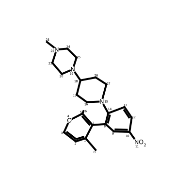 CC1=C=COC(C)=C1c1cc([N+](=O)[O-])ccc1N1CCC(N2CCN(C)CC2)CC1